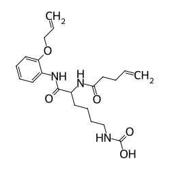 C=CCCC(=O)NC(CCCCNC(=O)O)C(=O)Nc1ccccc1OCC=C